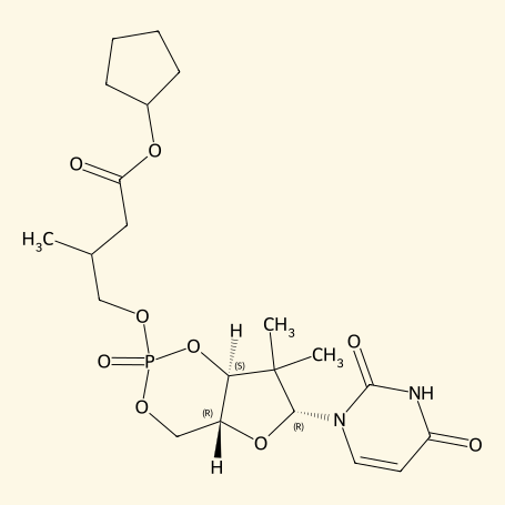 CC(COP1(=O)OC[C@H]2O[C@@H](n3ccc(=O)[nH]c3=O)C(C)(C)[C@@H]2O1)CC(=O)OC1CCCC1